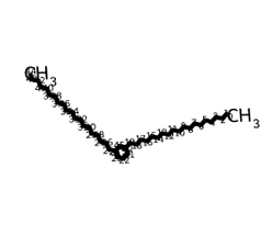 CCCCCCCCCCCCCCCCCCCCc1c[c]cc(CCCCCCCCCCCCCCCCCCCC)c1